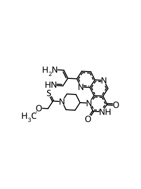 COCC(=S)N1CCC(n2c(=O)[nH]c(=O)c3cnc4ccc(/C(C=N)=C/N)nc4c32)CC1